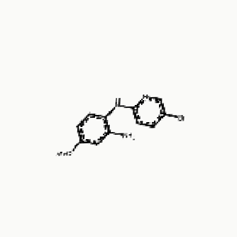 COc1ccc(Nc2ccc(Br)cn2)c(N)c1